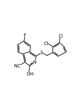 N#Cc1c(O)nc(SCc2cccc(Cl)c2Cl)c2cc(F)ccc12